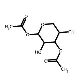 CC(=O)OC1OCC(O)C(OC(C)=O)C1O